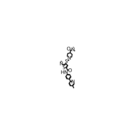 C=Nc1sc(C(=O)Nc2ccc(-c3ccc(C)cn3)cc2)cc1SCN1CCC(C(=O)N(C)C)CC1